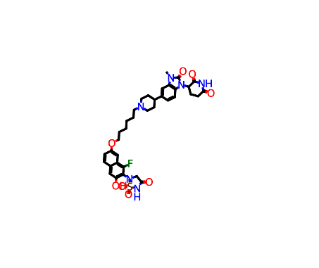 Cn1c(=O)n(C2CCC(=O)NC2=O)c2ccc(C3CCN(CCCCCCOc4ccc5cc(O)c(N6CC(=O)NS6(=O)=O)c(F)c5c4)CC3)cc21